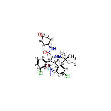 CC(C)(C)C[C@H]1N[C@@H](C(=O)NC2CCC(=O)CC2)[C@H](c2cccc(Cl)c2F)[C@@]12C(=O)Nc1cc(Cl)ccc12